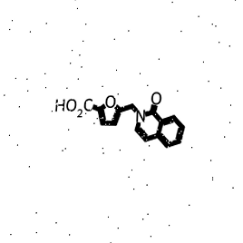 O=C(O)c1ccc(Cn2ccc3ccccc3c2=O)o1